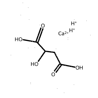 O=C(O)CC(O)C(=O)O.[Ca+2].[H+].[H+]